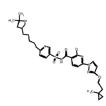 CC1(C)CC(CCCCCc2ccc(S(=O)(=O)NC(=O)c3ccc(-n4ccc(OCCC5(C(F)(F)F)CC5)n4)nc3Cl)cn2)CN1